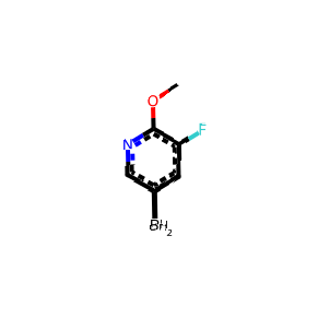 Bc1cnc(OC)c(F)c1